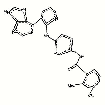 COc1c(C(=O)Nc2ccc(Nc3ncccc3-c3ncnc4[nH]cnc34)cc2)cccc1C(F)(F)F